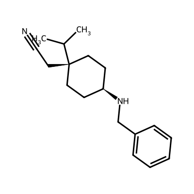 CC(C)[C@]1(CC#N)CC[C@@H](NCc2ccccc2)CC1